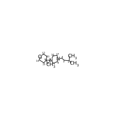 CC(C)CCN1CCN(C2(C)CCOCC2)CC1